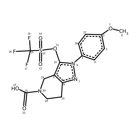 COc1ccc(-n2nc3c(c2OS(=O)(=O)C(F)(F)F)CN(C(=O)O)CC3)cc1